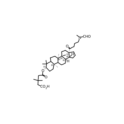 CN(C=O)CCCC(=O)[C@]12CCC[C@@H]1[C@H]1CCC3[C@@]4(C)CC[C@H](OC(=O)CC(C)(C)CC(=O)O)C(C)(C)C4CC[C@@]3(C)[C@]1(C)CC2